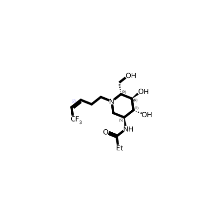 CCC(=O)N[C@H]1CN(CC/C=C\C(F)(F)F)[C@H](CO)[C@@H](O)[C@@H]1O